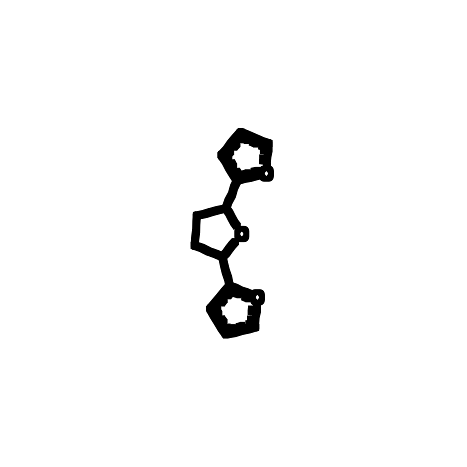 c1coc(C2CCC(c3ccco3)O2)c1